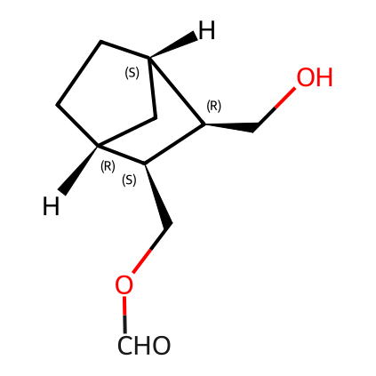 O=COC[C@H]1[C@@H]2CC[C@@H](C2)[C@H]1CO